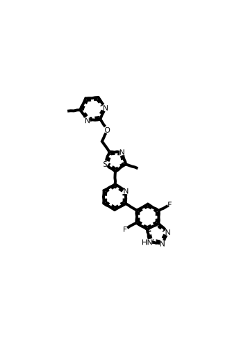 Cc1ccnc(OCc2nc(C)c(-c3cccc(-c4cc(F)c5nn[nH]c5c4F)n3)s2)n1